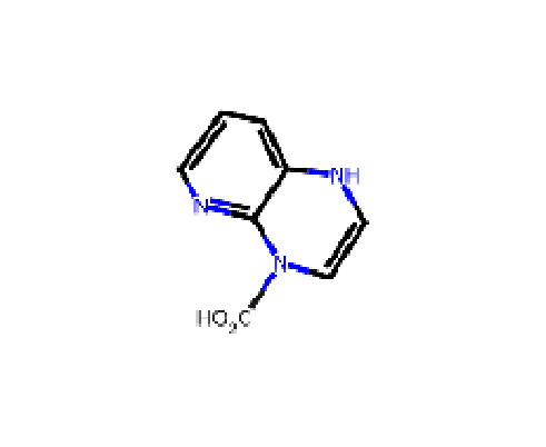 O=C(O)N1C=CNc2cccnc21